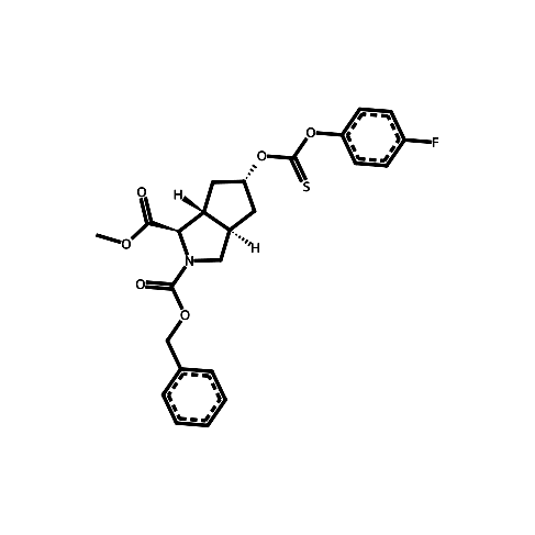 COC(=O)[C@H]1[C@@H]2C[C@H](OC(=S)Oc3ccc(F)cc3)C[C@H]2CN1C(=O)OCc1ccccc1